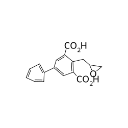 O=C(O)c1cc(-c2ccccc2)cc(C(=O)O)c1CC1CO1